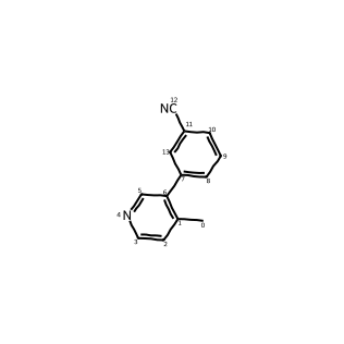 Cc1ccncc1-c1cccc(C#N)c1